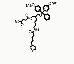 CCC(=O)CCC(=O)OCC(CCCCNC(=O)CCCCC1CCSS1)COC(c1ccccc1)(c1ccc(OC)cc1)c1ccc(OC)cc1